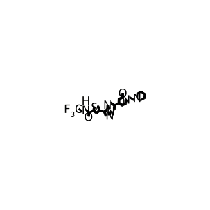 O=C(NCC(F)(F)F)c1cc(-c2cnn3cc(-c4ccn(CCN5CCCCC5)c(=O)c4)cnc23)cs1